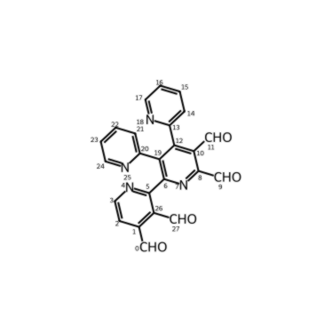 O=Cc1ccnc(-c2nc(C=O)c(C=O)c(-c3ccccn3)c2-c2ccccn2)c1C=O